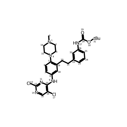 CN1CCN(c2ccc(Nc3nc(Cl)ncc3Cl)cc2CCc2cccc(NC(=O)OC(C)(C)C)c2)CC1